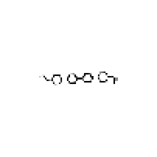 CCC[C@H]1CC[C@H](c2ccc(-c3ccc([C@H]4CC[C@H](CF)CC4)cc3)cc2)CC1